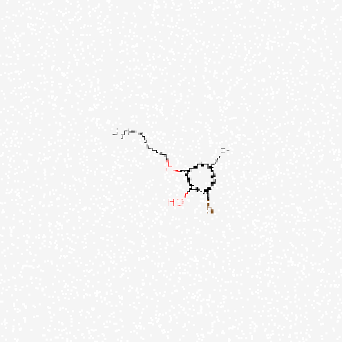 CCc1cc(Br)c(O)c(OCCC[N+](=O)[O-])c1